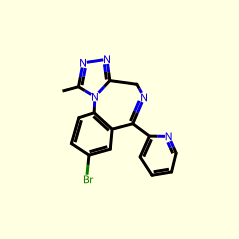 Cc1nnc2n1-c1ccc(Br)cc1C(c1ccccn1)=NC2